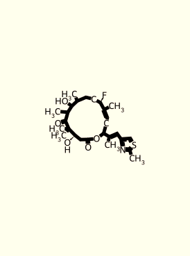 C/C1=C/CC(/C(C)=C/c2csc(C)n2)OC(=O)C[C@H](O)C(C)(C)C(=O)C(C)C(O)C(C)CC[C@@H]1F